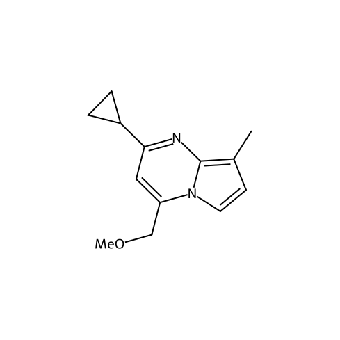 COCc1cc(C2CC2)nc2c(C)ccn12